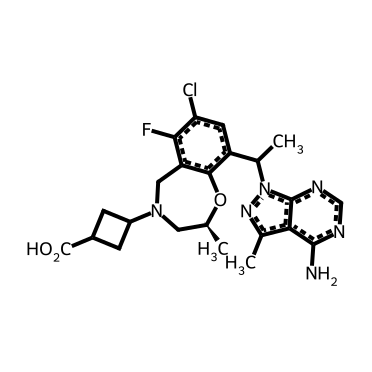 Cc1nn(C(C)c2cc(Cl)c(F)c3c2O[C@@H](C)CN(C2CC(C(=O)O)C2)C3)c2ncnc(N)c12